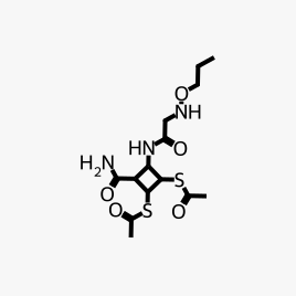 CCCONCC(=O)NC1C(SC(C)=O)C(SC(C)=O)C1C(N)=O